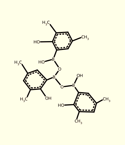 Cc1cc(C)c(O)c(B(O)OB(OB(O)c2cc(C)cc(C)c2O)c2cc(C)cc(C)c2O)c1